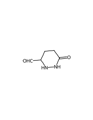 O=[C]C1CCC(=O)NN1